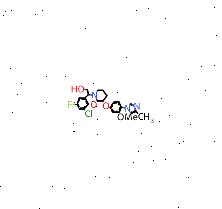 COc1cc(OC2CCCN(C(CO)c3cc(F)cc(Cl)c3)C2=O)ccc1-n1cnc(C)c1